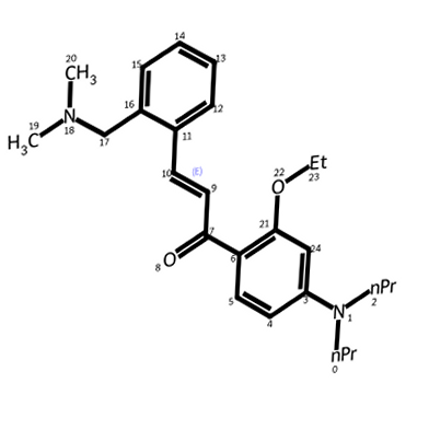 CCCN(CCC)c1ccc(C(=O)/C=C/c2ccccc2CN(C)C)c(OCC)c1